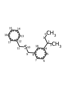 CCC(C)c1cccc(CSCc2ccccc2)c1